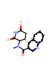 CN(C(=O)c1cnc2ccccc2c1)C1CCC(=O)NC1=O